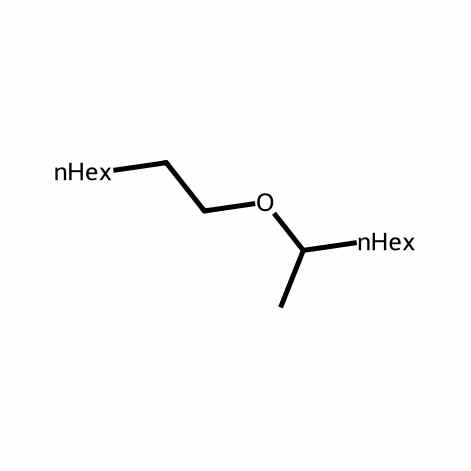 CCCCCCCCOC(C)CCCCCC